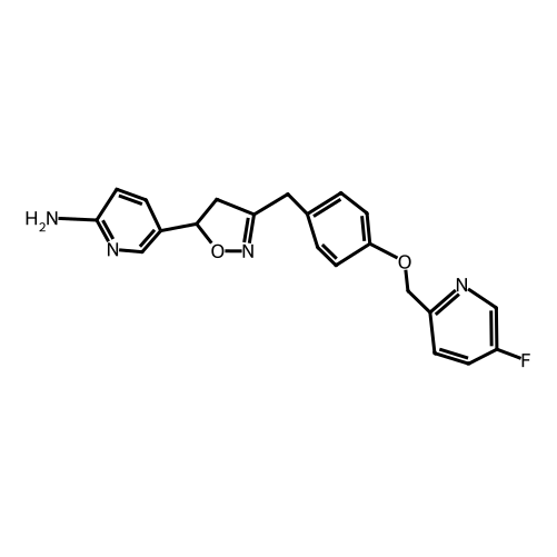 Nc1ccc(C2CC(Cc3ccc(OCc4ccc(F)cn4)cc3)=NO2)cn1